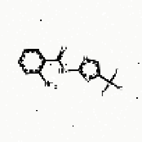 Nc1ccccc1C(=O)Nc1ncc(C(F)(F)F)s1